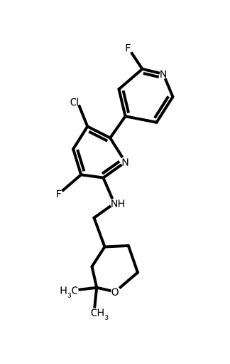 CC1(C)CC(CNc2nc(-c3ccnc(F)c3)c(Cl)cc2F)CCO1